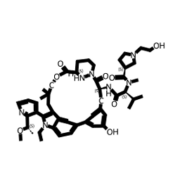 CCn1c(-c2cccnc2[C@H](C)OC)c2c3cc(ccc31)-c1cc(O)cc(c1)C[C@H](NC(=O)[C@H](C(C)C)N(C)C(=O)[C@H]1CCN(CCO)C1)C(=O)N1CCC[C@H](N1)C(=O)OCC(C)(C)C2